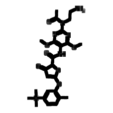 COc1nc(N(CCN)C(C)=O)nc(OC)c1NC(=O)C1OC(Oc2cc([Si](C)(C)C)ccc2C)=CC1=O